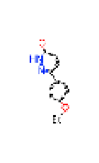 CCOc1ccc(-c2ccc(=O)[nH]n2)cc1